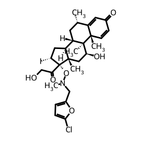 C[C@H]1C[C@H]2[C@@H]3C[C@@H](I)[C@](ON(C)Cc4ccc(Cl)o4)(C(=O)CO)[C@@]3(C)C[C@H](O)[C@]2(C)[C@@]2(C)C=CC(=O)C=C12